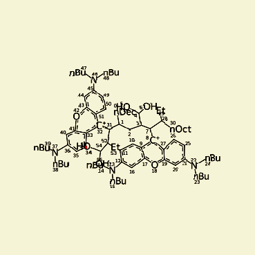 CCCCCCCCCCC(CC(C(O)O)C([c+]1c2ccc(N(CCCC)CCCC)cc2oc2cc(N(CCCC)CCCC)ccc21)C(CC)CCCCCCCC)C([c+]1c2ccc(N(CCCC)CCCC)cc2oc2cc(N(CCCC)CCCC)ccc21)C(CC)C(O)O